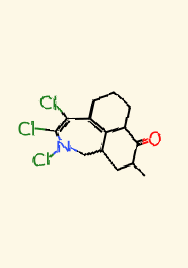 CC1CC2CN(Cl)C(Cl)=C(Cl)C3=C2C(CCC3)C1=O